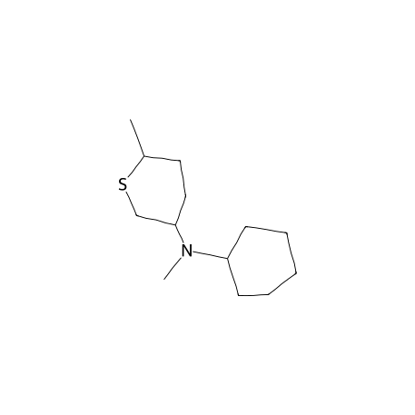 CC1CCC(N(C)C2CCCCC2)CS1